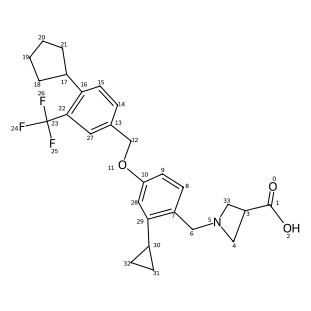 O=C(O)C1CN(Cc2ccc(OCc3ccc(C4CCCC4)c(C(F)(F)F)c3)cc2C2CC2)C1